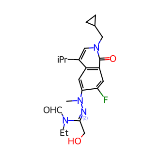 CCN(C=O)/C(CO)=N\N(C)c1cc2c(C(C)C)cn(CC3CC3)c(=O)c2cc1F